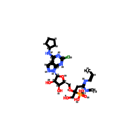 C=N/C(CC(CO)(OC[C@H]1O[C@@H](n2ncc3c(NC4CCCC4)nc(Cl)nc32)[C@H](O)[C@@H]1O)P(=O)(O)O)=N\C=C/C